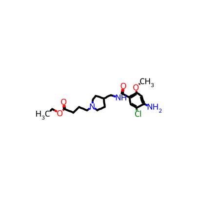 CCOC(=O)CCCN1CCC(CNC(=O)c2cc(Cl)c(N)cc2OC)CC1